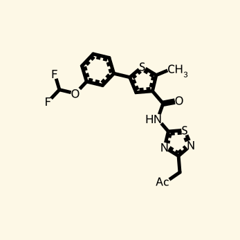 CC(=O)Cc1nsc(NC(=O)c2cc(-c3cccc(OC(F)F)c3)sc2C)n1